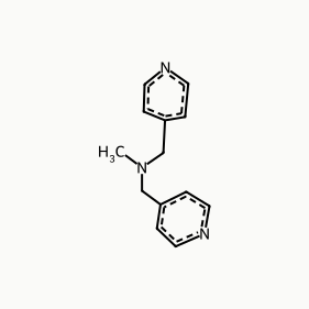 CN(Cc1ccncc1)Cc1ccncc1